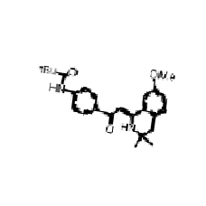 COc1ccc2c(c1)C(=CC(=O)c1ccc(NC(=O)C(C)(C)C)cc1)NC(C)(C)C2